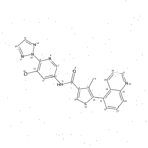 Cc1c(C(=O)Nc2cnc(-n3nccn3)c(Cl)c2)csc1-c1cccc2ncccc12